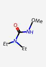 CCN(CC)C(=O)NOC